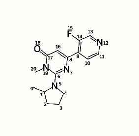 CC1CCCN1c1nc(-c2ccncc2F)cc(=O)n1C